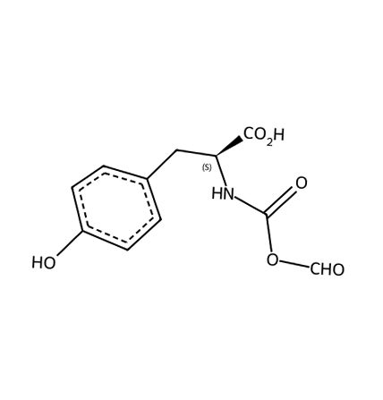 O=COC(=O)N[C@@H](Cc1ccc(O)cc1)C(=O)O